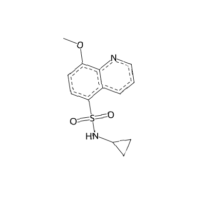 COc1ccc(S(=O)(=O)NC2CC2)c2cccnc12